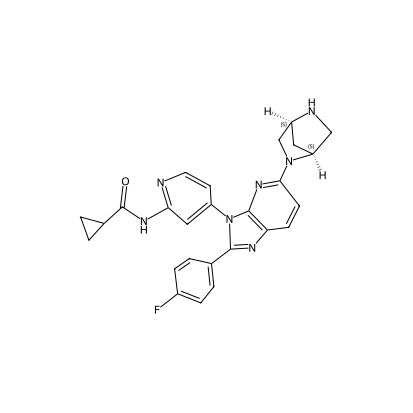 O=C(Nc1cc(-n2c(-c3ccc(F)cc3)nc3ccc(N4C[C@@H]5C[C@H]4CN5)nc32)ccn1)C1CC1